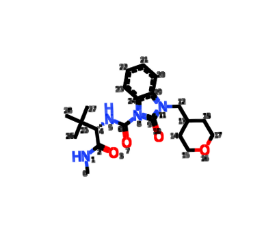 CNC(=O)[C@@H](NC(=O)n1c(=O)n(CC2CCOCC2)c2ccccc21)C(C)(C)C